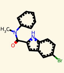 CN(C(=O)c1cc2cc(Br)ccc2[nH]1)c1ccccc1